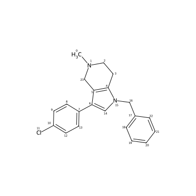 CN1CCc2c(c(-c3ccc(Cl)cc3)cn2Cc2ccccc2)C1